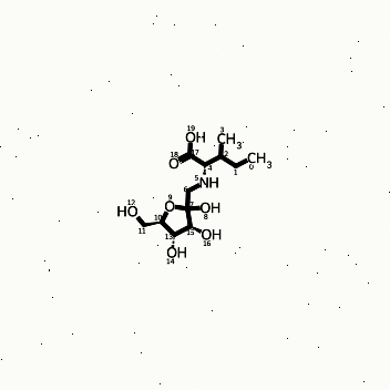 CCC(C)[C@H](NCC1(O)O[C@H](CO)[C@@H](O)[C@@H]1O)C(=O)O